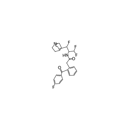 O=C(Cc1ccccc1C(=O)c1ccc(F)cc1)NC(C(F)F)C(F)C1CN2CCC1CC2